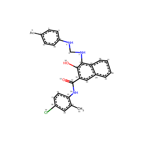 CC(=O)c1ccc(NCNc2c(O)c(C(=O)Nc3ccc(Cl)cc3C)cc3ccccc23)cc1